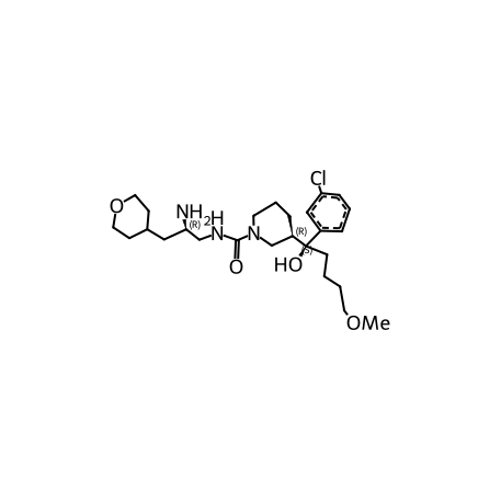 COCCCC[C@@](O)(c1cccc(Cl)c1)[C@@H]1CCCN(C(=O)NC[C@H](N)CC2CCOCC2)C1